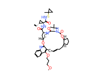 C=C[C@@H]1C[C@]1(NC(=O)C1C[C@@H]2CN1C(=O)[C@H](C(C)(C)C)NC(=O)O[C@@H]1CCC[C@H]1CC/C=C/Cc1c(nc3ccccc3c1OCCCOC)O2)C(=O)NSC1(C)CC1